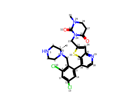 C[C@H]1CNCCN1Cc1c(Cl)cc(Cl)cc1-c1ccnc2cc(CN3C(=O)CCN(C)C3=O)sc12